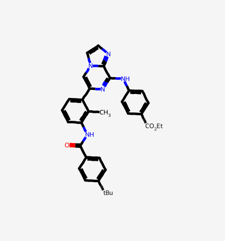 CCOC(=O)c1ccc(Nc2nc(-c3cccc(NC(=O)c4ccc(C(C)(C)C)cc4)c3C)cn3ccnc23)cc1